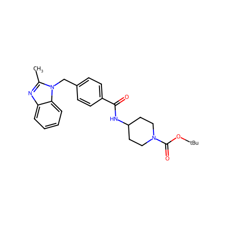 Cc1nc2ccccc2n1Cc1ccc(C(=O)NC2CCN(C(=O)OC(C)(C)C)CC2)cc1